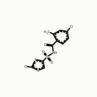 Cc1cc(Cl)ccc1C(=O)NS(=O)(=O)c1cnc(Cl)s1